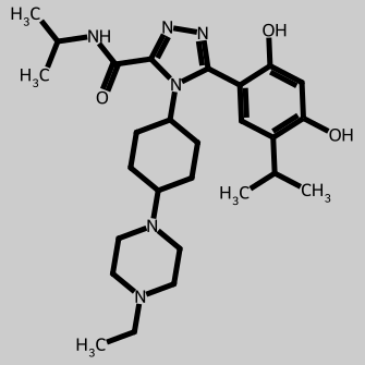 CCN1CCN(C2CCC(n3c(C(=O)NC(C)C)nnc3-c3cc(C(C)C)c(O)cc3O)CC2)CC1